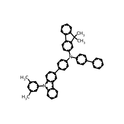 Cc1cc(C)cc(-n2c3ccccc3c3cc(-c4ccc(N(c5ccc(-c6ccccc6)cc5)c5ccc6c(c5)C(C)(C)c5ccccc5-6)cc4)ccc32)c1